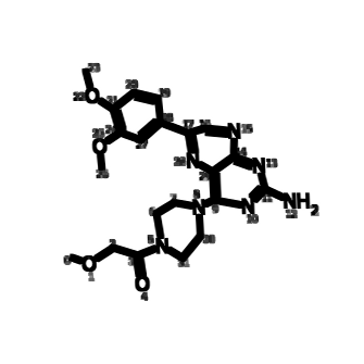 COCC(=O)N1CCN(c2nc(N)nc3ncc(-c4ccc(OC)c(OC)c4)nc23)CC1